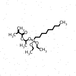 C=C(C)C(=O)OC(C)O[Si](CCCCCCCCC)(OCC)OCC